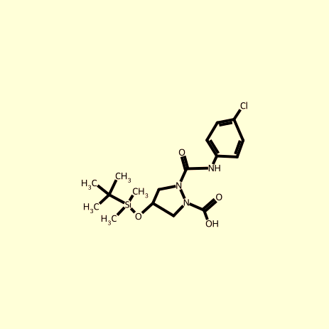 CC(C)(C)[Si](C)(C)OC1CN(C(=O)O)N(C(=O)Nc2ccc(Cl)cc2)C1